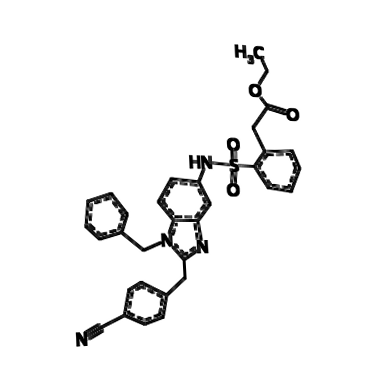 CCOC(=O)Cc1ccccc1S(=O)(=O)Nc1ccc2c(c1)nc(Cc1ccc(C#N)cc1)n2Cc1ccccc1